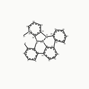 Cc1cccc2c1N1B3c4c(cccc4-2)-c2ccccc2N3c2ccc[n+](C)c21